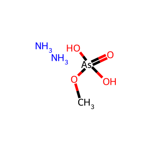 CO[As](=O)(O)O.N.N